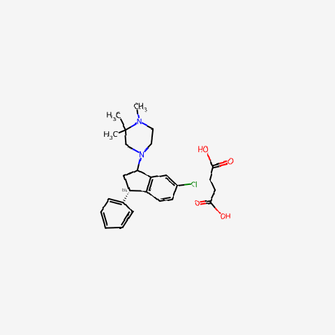 CN1CCN(C2C[C@@H](c3ccccc3)c3ccc(Cl)cc32)CC1(C)C.O=C(O)CCC(=O)O